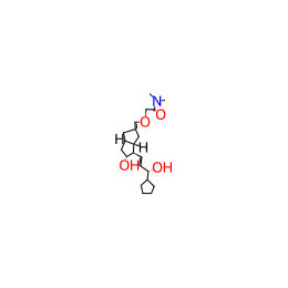 CN(C)C(=O)COC=C1C[C@H]2C[C@@H](O)[C@H](/C=C/[C@H](O)C3CCCC3)[C@H]2C1